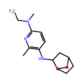 Cc1nc(N(C)CC(F)(F)F)ccc1NC1CC2CCC13CCN23